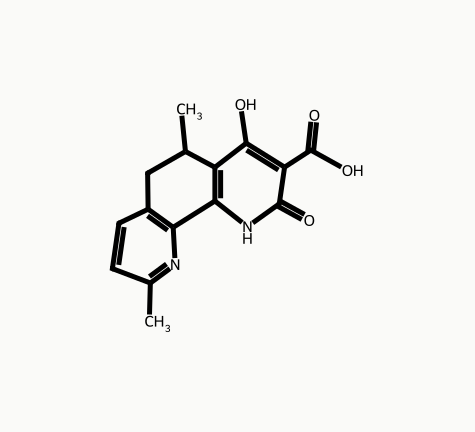 Cc1ccc2c(n1)-c1[nH]c(=O)c(C(=O)O)c(O)c1C(C)C2